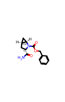 NC(=O)[C@@H]1C[C@H]2C[C@H]2N1C(=O)OCc1ccccc1